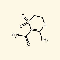 CC1=C(C(N)=O)S(=O)(=O)CCO1